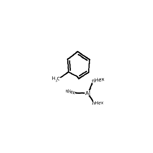 CCCCC[CH2][Al]([CH2]CCCCC)[CH2]CCCCC.Cc1ccccc1